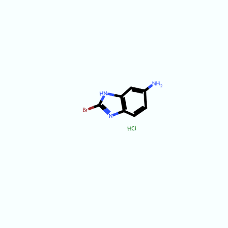 Cl.Nc1ccc2nc(Br)[nH]c2c1